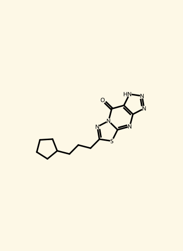 O=c1c2[nH]nnc2nc2sc(CCCC3CCCC3)nn12